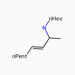 CCCCC/C=C/C(C)[N]CCCCCC